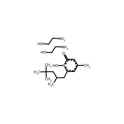 Cc1cc(CC(C)CC(C)(C)C)n(O)c(=O)c1.NCCO.NCCO